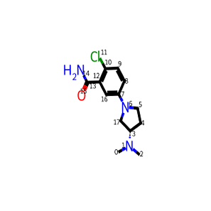 CN(C)[C@H]1CCN(c2ccc(Cl)c(C(N)=O)c2)C1